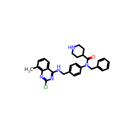 Cc1cccc2c(NCc3ccc(N(Cc4ccccc4)C(=O)C4CCNCC4)cc3)nc(Cl)nc12